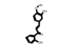 CCCOC1=C(O)CC(C=CC(=O)c2ccccc2O)C=C1